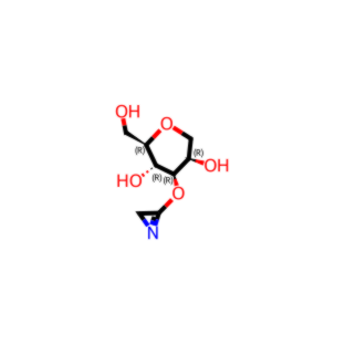 OC[C@H]1OC[C@@H](O)[C@@H](OC2=NC2)[C@@H]1O